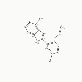 C=CCc1ccc(Cl)nc1-c1cc2c(F)cccc2[nH]1